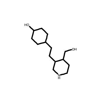 OCC1CCNCC1CCC1CCC(O)CC1